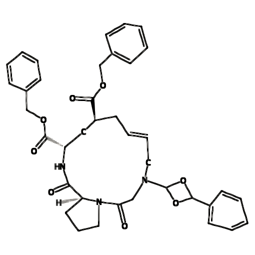 O=C(OCc1ccccc1)[C@H]1C/C=C/CN(C2OC(c3ccccc3)O2)CC(=O)N2CCC[C@H]2C(=O)N[C@H](C(=O)OCc2ccccc2)C1